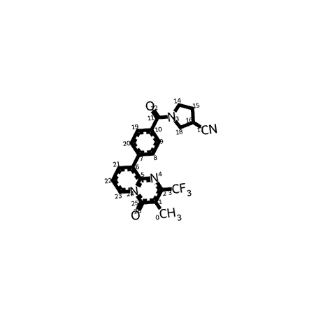 Cc1c(C(F)(F)F)nc2c(-c3ccc(C(=O)N4CCC(C#N)C4)cc3)cccn2c1=O